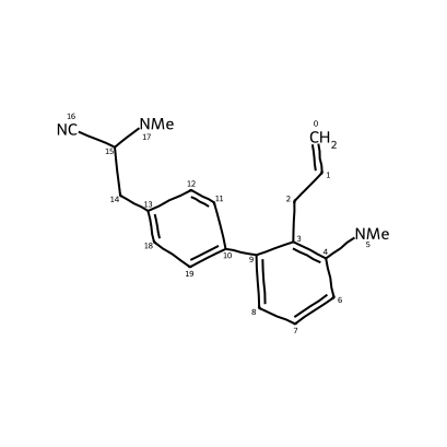 C=CCc1c(NC)cccc1-c1ccc(CC(C#N)NC)cc1